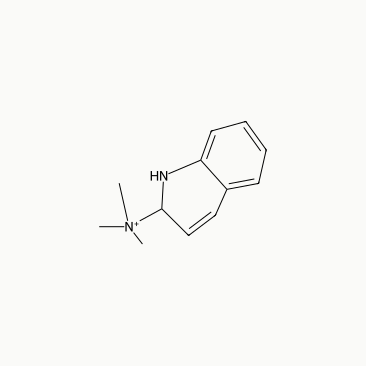 C[N+](C)(C)C1C=Cc2ccccc2N1